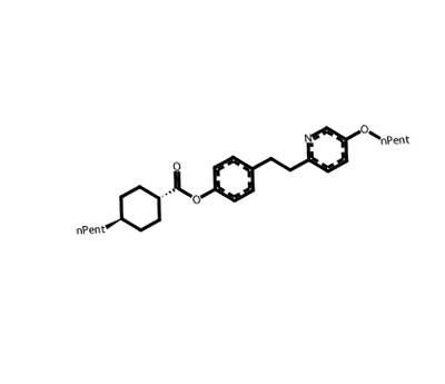 CCCCCOc1ccc(CCc2ccc(OC(=O)[C@H]3CC[C@H](CCCCC)CC3)cc2)nc1